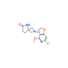 COc1nc(Cl)cc2c1[C@H](N1CC3(CCC(=O)N3)C1)CO2